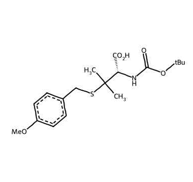 COc1ccc(CSC(C)(C)[C@@H](NC(=O)OC(C)(C)C)C(=O)O)cc1